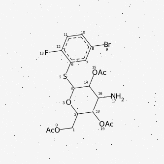 CC(=O)OCC1OC(Sc2cc(Br)ccc2F)C(OC(C)=O)C(N)C1OC(C)=O